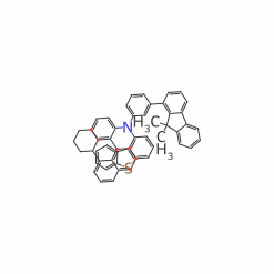 CC1(C)c2ccccc2-c2cccc(-c3cccc(N(c4ccccc4-c4cccc5cccc(C6CCCCC6)c45)c4cccc5sc6ccccc6c45)c3)c21